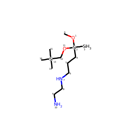 CO[Si]([SiH3])(CCCNCCN)OC[Si](C)(C)C